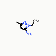 CC(=O)OCn1nc(C)cc1N